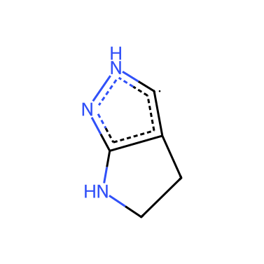 [c]1[nH]nc2c1CCN2